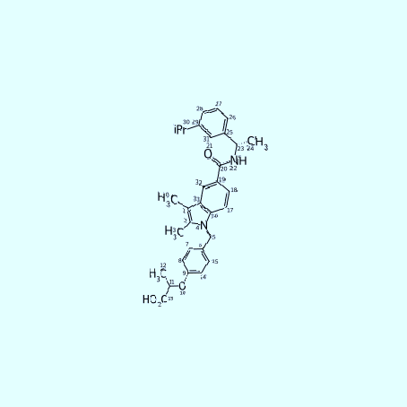 Cc1c(C)n(Cc2ccc(OC(C)C(=O)O)cc2)c2ccc(C(=O)N[C@@H](C)c3cccc(C(C)C)c3)cc12